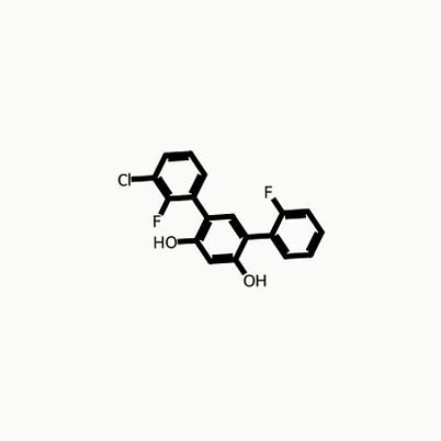 Oc1cc(O)c(-c2cccc(Cl)c2F)cc1-c1ccccc1F